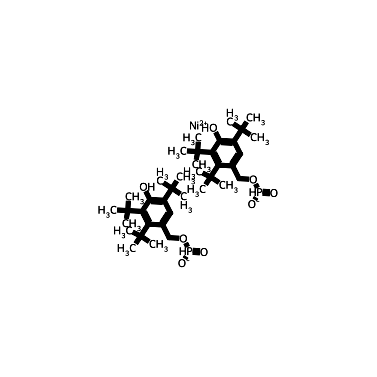 CC(C)(C)c1cc(CO[PH](=O)[O-])c(C(C)(C)C)c(C(C)(C)C)c1O.CC(C)(C)c1cc(CO[PH](=O)[O-])c(C(C)(C)C)c(C(C)(C)C)c1O.[Ni+2]